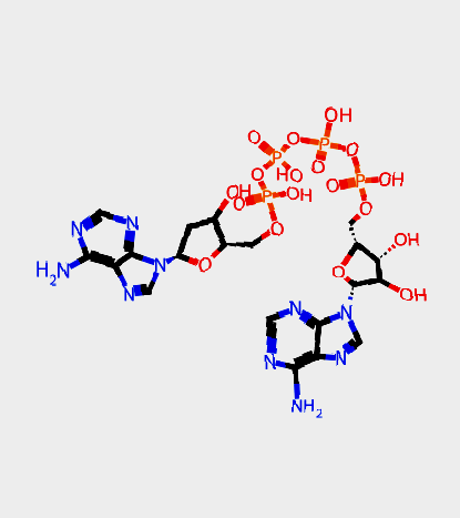 Nc1ncnc2c1ncn2[C@@H]1O[C@H](COP(=O)(O)OP(=O)(O)OP(=O)(O)OP(=O)(O)OC[C@H]2O[C@@H](n3cnc4c(N)ncnc43)CC2O)[C@H](O)C1O